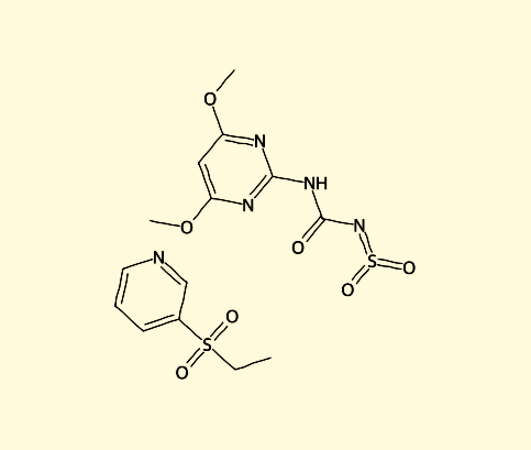 CCS(=O)(=O)c1cccnc1.COc1cc(OC)nc(NC(=O)N=S(=O)=O)n1